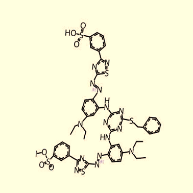 CCN(CC)c1ccc(/N=N/c2nc(-c3cccc(S(=O)(=O)O)c3)ns2)c(Nc2nc(Nc3cc(N(CC)CC)ccc3/N=N/c3nc(-c4cccc(S(=O)(=O)OI)c4)ns3)nc(SCc3ccccc3)n2)c1